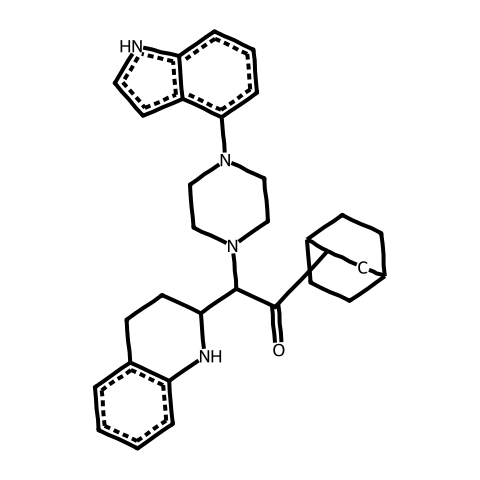 O=C(C1CC2CCC1CC2)C(C1CCc2ccccc2N1)N1CCN(c2cccc3[nH]ccc23)CC1